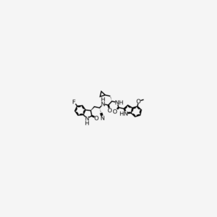 COc1cccc2[nH]c(C(=O)N[C@@H](CC3CC3)C(=O)N[C@H](C#N)C[C@H]3C(=O)Nc4ccc(F)cc43)cc12